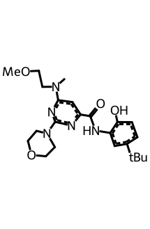 COCCN(C)c1cc(C(=O)Nc2cc(C(C)(C)C)ccc2O)nc(N2CCOCC2)n1